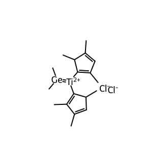 CC1=CC(C)[C]([Ti+2]([C]2=C(C)C=C(C)C2C)=[Ge]([CH3])[CH3])=C1C.[Cl-].[Cl-]